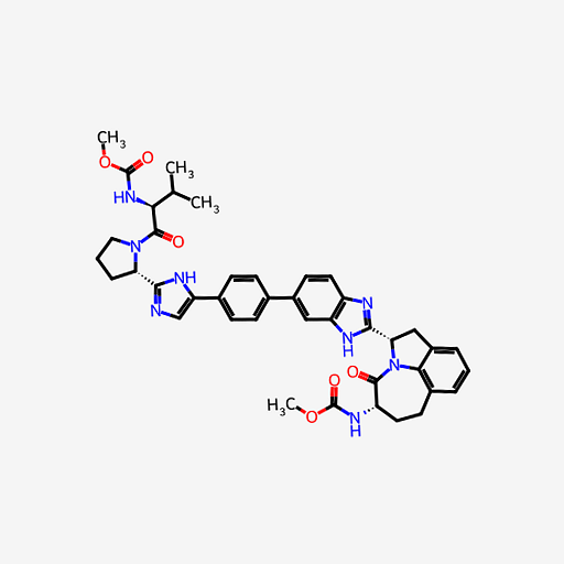 COC(=O)N[C@H]1CCc2cccc3c2N(C1=O)[C@H](c1nc2ccc(-c4ccc(-c5cnc([C@@H]6CCCN6C(=O)[C@@H](NC(=O)OC)C(C)C)[nH]5)cc4)cc2[nH]1)C3